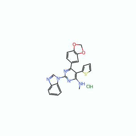 CNc1nc(-n2cnc3ccccc32)nc(-c2ccc3c(c2)OCO3)c1-c1cccs1.Cl